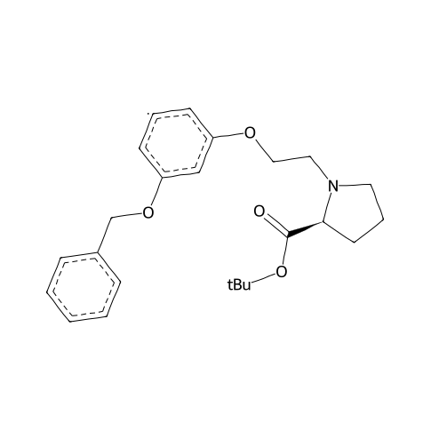 CC(C)(C)OC(=O)[C@@H]1CCCN1CCOc1c[c]cc(OCc2ccccc2)c1